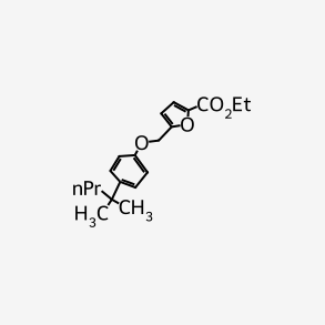 CCCC(C)(C)c1ccc(OCc2ccc(C(=O)OCC)o2)cc1